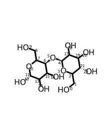 OCC1O[C@@H](O[C@@H]2C(CO)O[C@@H](O)C(O)C2O)C(O)C(O)[C@@H]1O